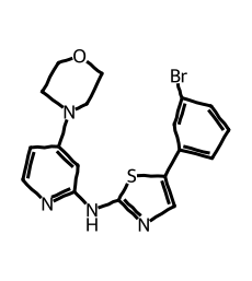 Brc1cccc(-c2cnc(Nc3cc(N4CCOCC4)ccn3)s2)c1